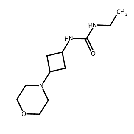 CCNC(=O)NC1CC(N2CCOCC2)C1